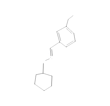 CCc1cccc(/[C]=N/OC2CCCCC2)c1